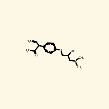 C=CC(C(C)=O)c1ccc(OCC(O)CN(C)C)cc1